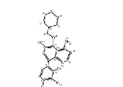 N#Cc1cc(-c2ccc(F)c(Cl)c2F)c2ncnc(N)c2c1OCC1COCCO1